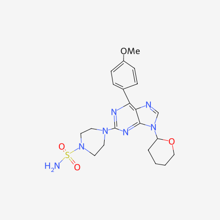 COc1ccc(-c2nc(N3CCN(S(N)(=O)=O)CC3)nc3c2ncn3C2CCCCO2)cc1